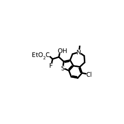 CCOC(=O)C(F)C(O)c1sc2ccc(Cl)c3c2c1CN(C)CC3